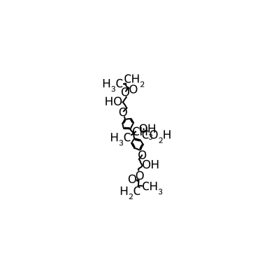 C=C(C)C(=O)OCC(O)COc1ccc(C(C)(C)c2ccc(OCC(O)COC(=O)C(=C)C)cc2)cc1.O=C(O)O